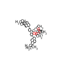 C=CC(=O)OCC(CC)CCCC1(C(CC(CC)CC)OC(=O)C=C)c2cc(-c3ccc4ccc5cc(C(C)(C)C)cc6ccc3c4c56)ccc2-c2ccc(-c3ccc4ccc5cc(C(C)(C)C)cc6ccc3c4c56)cc21